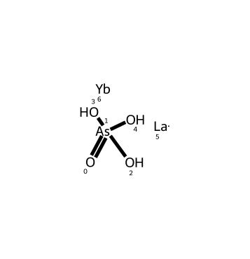 O=[As](O)(O)O.[La].[Yb]